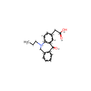 CCCN1Cc2ccccc2C(=O)c2cc(CC(=O)O)ccc21